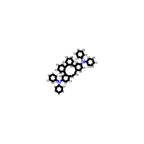 c1ccc(N(c2ccccc2)c2ccc3ccc4ccc(N(c5ccccc5)c5ccccc5)cc4c4ccccc4c4ccccc4c3c2)cc1